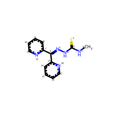 CNC(=S)NN=C(c1ccccn1)c1ccccn1